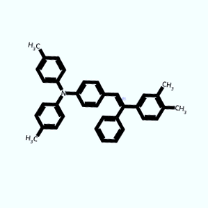 Cc1ccc(N(c2ccc(C)cc2)c2ccc(/C=C(\c3ccccc3)c3ccc(C)c(C)c3)cc2)cc1